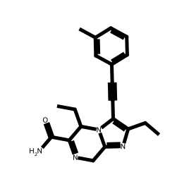 CCc1nc2n(c1C#Cc1cccc(C)c1)C(CC)C(C(N)=O)=NC2